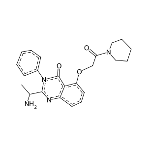 CC(N)c1nc2cccc(OCC(=O)N3CCCCC3)c2c(=O)n1-c1ccccc1